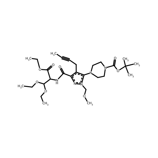 CC#CCc1c(C(=O)NC(C(=O)OCC)C(OCC)OCC)nn(COC)c1N1CCN(C(=O)OC(C)(C)C)CC1